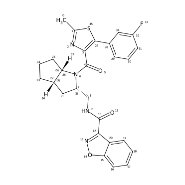 Cc1nc(C(=O)N2[C@H](CNC(=O)c3noc4ccccc34)C[C@@H]3CCC[C@@H]32)c(-c2cccc(F)c2)s1